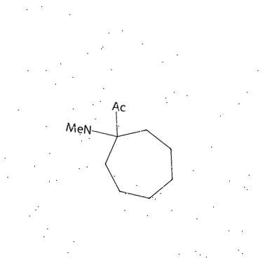 CNC1(C(C)=O)CCCCCC1